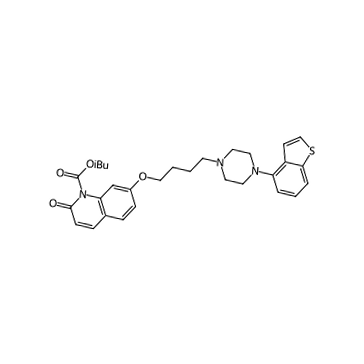 CC(C)COC(=O)n1c(=O)ccc2ccc(OCCCCN3CCN(c4cccc5sccc45)CC3)cc21